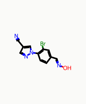 N#Cc1cnn(-c2ccc(C=NO)cc2Br)c1